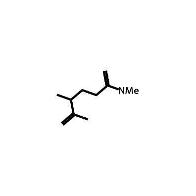 C=C(CCC(C)C(=C)C)NC